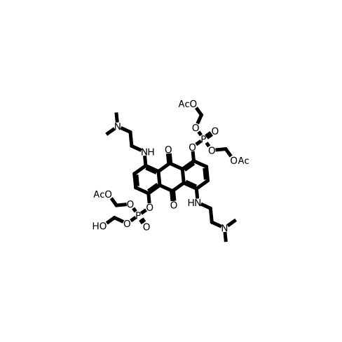 CC(=O)OCOP(=O)(OCO)Oc1ccc(NCCN(C)C)c2c1C(=O)c1c(NCCN(C)C)ccc(OP(=O)(OCOC(C)=O)OCOC(C)=O)c1C2=O